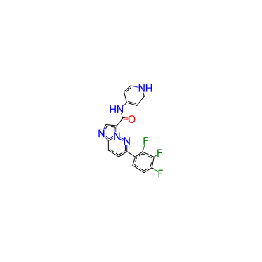 O=C(NC1=CCNC=C1)c1cnc2ccc(-c3ccc(F)c(F)c3F)nn12